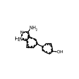 Nc1n[nH]c2ccc(-c3ccc(O)cc3)cc12